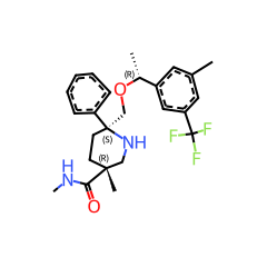 CNC(=O)[C@]1(C)CC[C@@](CO[C@H](C)c2cc(C)cc(C(F)(F)F)c2)(c2ccccc2)NC1